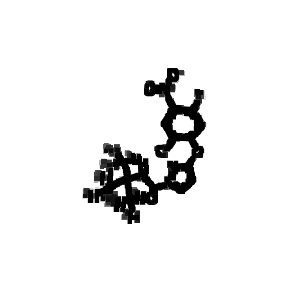 [2H]C([2H])([2H])C(NC(=O)n1ccc(Oc2cc(F)c([N+](=O)[O-])cc2Cl)n1)(C([2H])([2H])[2H])C([2H])([2H])[2H]